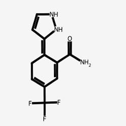 NC(=O)C1=CC(C(F)(F)F)=CCC1=C1C=CNN1